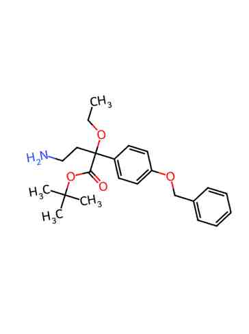 CCOC(CCN)(C(=O)OC(C)(C)C)c1ccc(OCc2ccccc2)cc1